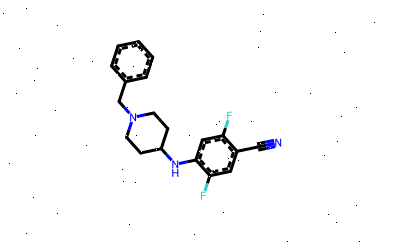 N#Cc1cc(F)c(NC2CCN(Cc3ccccc3)CC2)cc1F